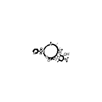 CO[C@]1(C)C[C@@H](C)CN(C)CCCN(S(=O)(=O)c2cccnc2)CCOC(=O)C(C)(C)C(=O)[C@H](C)[C@H]1O[C@@H]1O[C@H](C)C[C@H](N(C)C)[C@H]1O